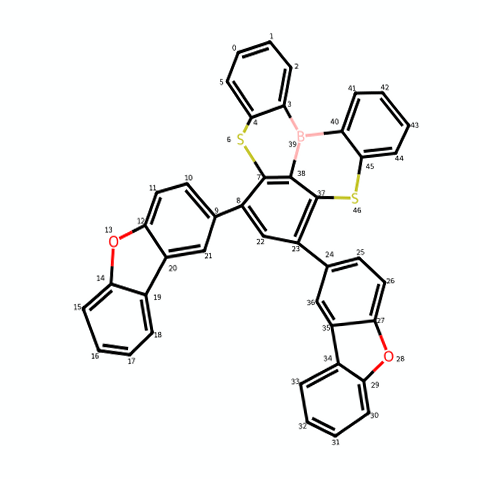 c1ccc2c(c1)Sc1c(-c3ccc4oc5ccccc5c4c3)cc(-c3ccc4oc5ccccc5c4c3)c3c1B2c1ccccc1S3